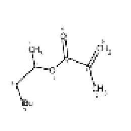 C=C(C)C(=O)OC(C)CC(C)CC